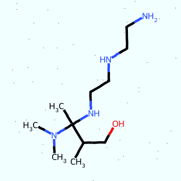 CC(CO)C(C)(NCCNCCN)N(C)C